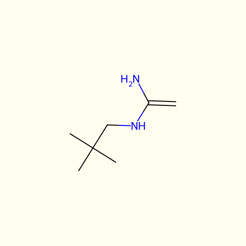 C=C(N)NCC(C)(C)C